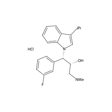 CNC[C@@H](O)[C@H](c1cccc(F)c1)n1cc(C(C)C)c2ccccc21.Cl